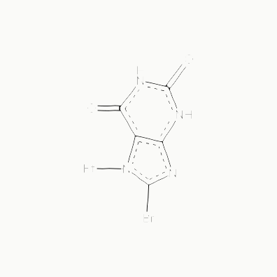 CCn1c(Br)nc2[nH]c(=O)[nH]c(=O)c21